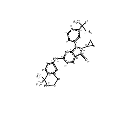 CC(C)(F)c1cc(-n2c3nc(Nc4ccc5c(c4)CCNC5(C)C)ncc3c(=O)n2C2CC2)ccn1